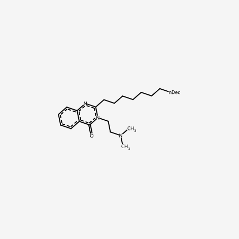 CCCCCCCCCCCCCCCCCc1nc2ccccc2c(=O)n1CCN(C)C